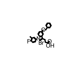 Cc1cc(-n2c(Br)c(CCC(=O)O)c3cc(OCc4ccccc4)ccc32)ccc1F